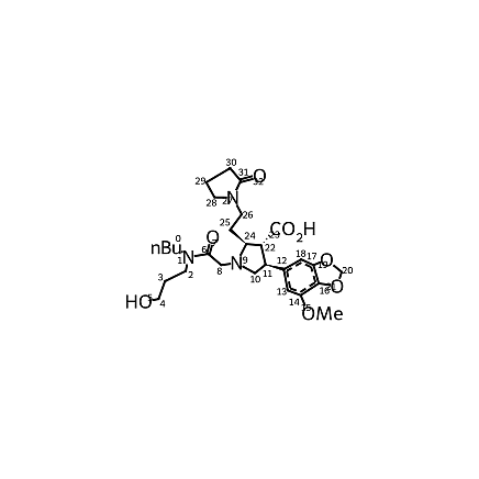 CCCCN(CCCO)C(=O)CN1C[C@H](c2cc(OC)c3c(c2)OCO3)[C@@H](C(=O)O)[C@@H]1CCN1CCCC1=O